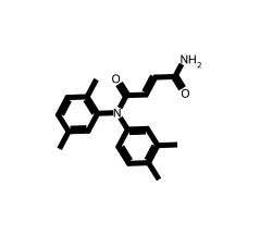 Cc1ccc(C)c(N(C(=O)C=CC(N)=O)c2ccc(C)c(C)c2)c1